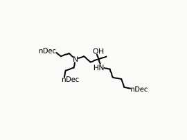 CCCCCCCCCCCCCCNC(C)(O)CCN(CCCCCCCCCCCC)CCCCCCCCCCCC